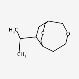 CC(C)C1CC2CCCC1CCOC2